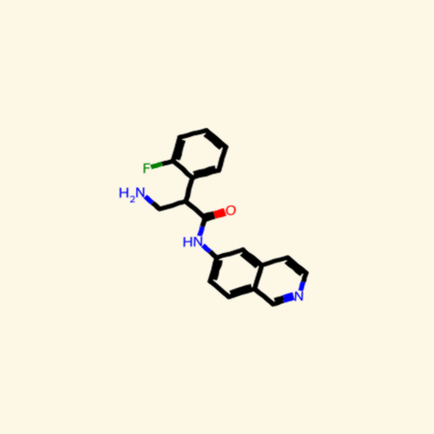 NCC(C(=O)Nc1ccc2cnccc2c1)c1ccccc1F